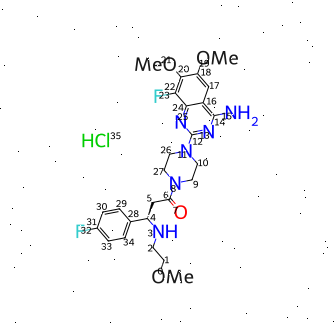 COCCN[C@H](CC(=O)N1CCN(c2nc(N)c3cc(OC)c(OC)c(F)c3n2)CC1)c1ccc(F)cc1.Cl